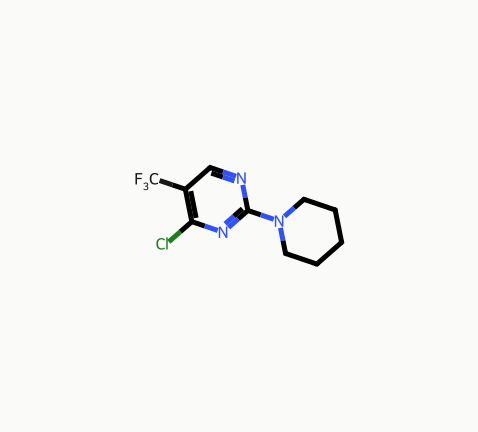 FC(F)(F)c1cnc(N2CCCCC2)nc1Cl